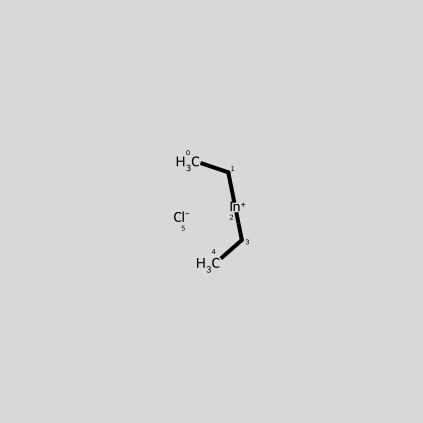 C[CH2][In+][CH2]C.[Cl-]